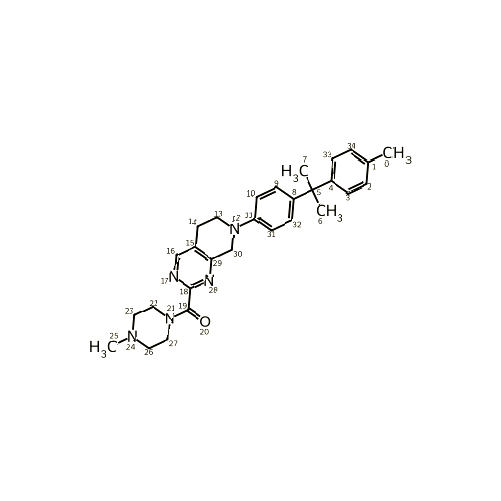 Cc1ccc(C(C)(C)c2ccc(N3CCc4cnc(C(=O)N5CCN(C)CC5)nc4C3)cc2)cc1